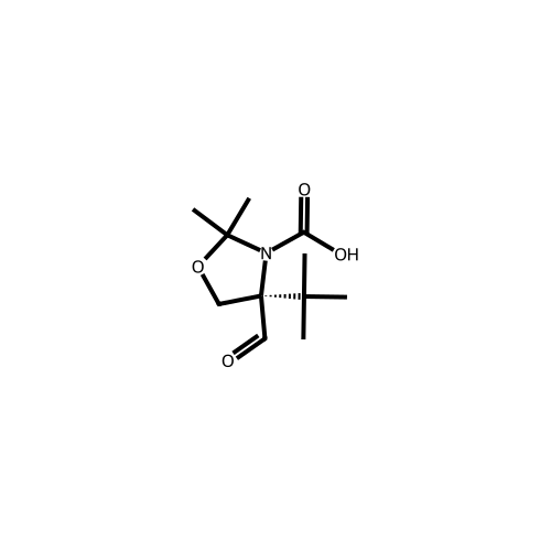 CC1(C)OC[C@@](C=O)(C(C)(C)C)N1C(=O)O